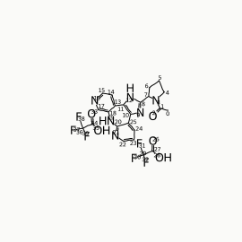 CC(=O)N1CCCC1c1nc2c([nH]1)-c1ccncc1Nc1ncccc1-2.O=C(O)C(F)(F)F.O=C(O)C(F)(F)F